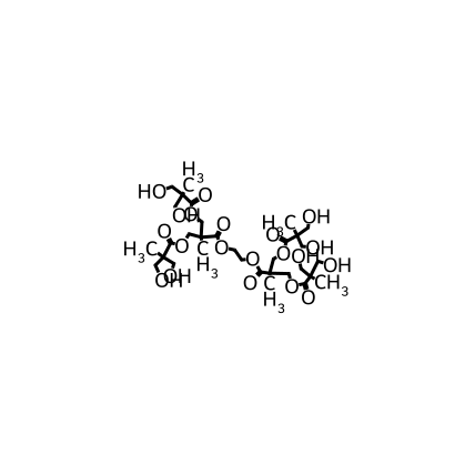 CC(CO)(CO)C(=O)OCC(C)(COC(=O)C(C)(CO)CO)C(=O)OCCOC(=O)C(C)(COC(=O)C(C)(CO)CO)COC(=O)C(C)(CO)CO